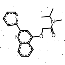 CC(C)N(C)C(=O)COc1cc(-c2ccccc2)nc2ccccc12